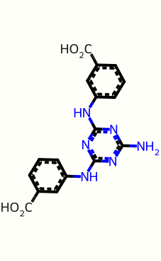 Nc1nc(Nc2cccc(C(=O)O)c2)nc(Nc2cccc(C(=O)O)c2)n1